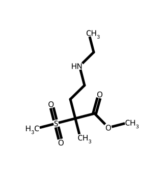 CCNCCC(C)(C(=O)OC)S(C)(=O)=O